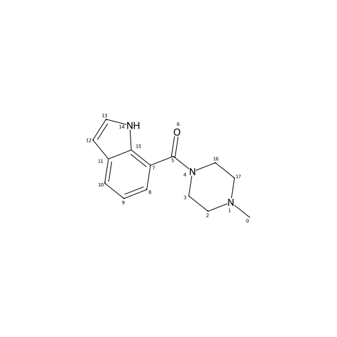 CN1CCN(C(=O)c2cccc3cc[nH]c23)CC1